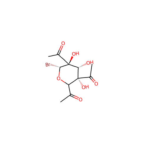 CC(=O)C1O[C@H](Br)[C@](O)(C(C)=O)[C@H](O)[C@@]1(O)C(C)=O